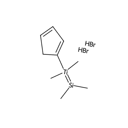 Br.Br.C[Si](C)=[Ti]([CH3])([CH3])[C]1=CC=CC1